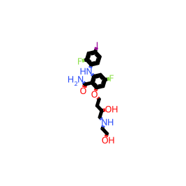 NC(=O)c1c(Nc2ccc(I)cc2F)cc(F)cc1OCCC(O)CNCCO